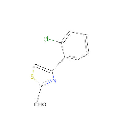 O=Cc1nc(-c2ccccc2Cl)cs1